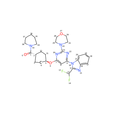 O=C([C@H]1CC[C@H](Oc2cc(-n3c(C(F)F)nc4ccccc43)nc(N3CCOCC3)n2)CC1)N1CCCCC1